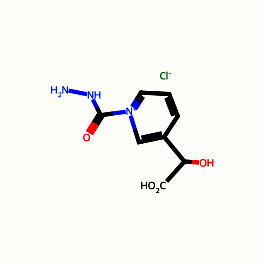 NNC(=O)[n+]1cccc(C(O)C(=O)O)c1.[Cl-]